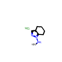 CCCNn1ncc2c1CCCC2.Cl